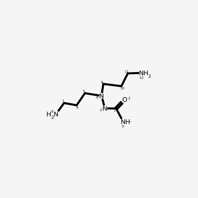 [NH]C(=O)[N]N(CCCN)CCCN